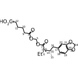 CCN(C(=O)OCOC(=O)CCCCC(=O)O)[C@@H](C)Cc1ccc2c(c1)OCO2